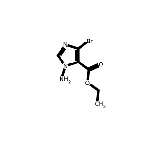 CCOC(=O)c1c(Br)ncn1N